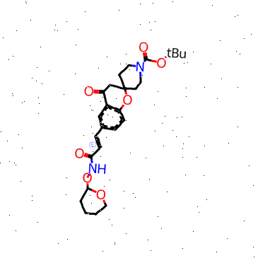 CC(C)(C)OC(=O)N1CCC2(CC1)CC(=O)c1cc(/C=C/C(=O)NOC3CCCCO3)ccc1O2